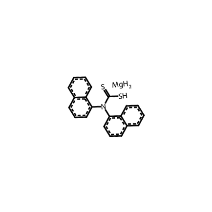 S=C(S)N(c1cccc2ccccc12)c1cccc2ccccc12.[MgH2]